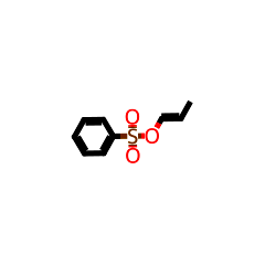 CC=COS(=O)(=O)c1ccccc1